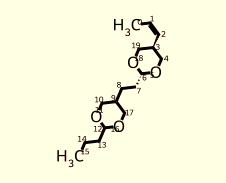 C/C=C\[C@H]1CO[C@H](CCC2COC(CCC)OC2)OC1